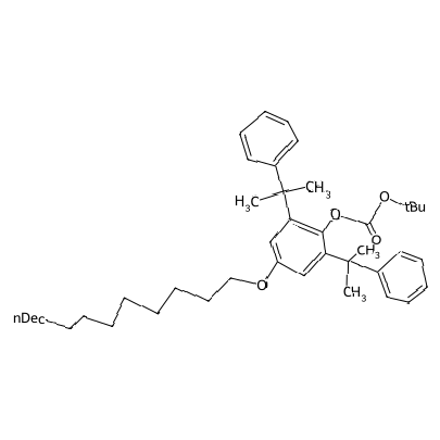 CCCCCCCCCCCCCCCCCCOc1cc(C(C)(C)c2ccccc2)c(OC(=O)OC(C)(C)C)c(C(C)(C)c2ccccc2)c1